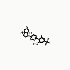 Cc1cc(C(F)(F)F)cc(O)c1-c1ccc(N2CC[C@H]3CN(C)C[C@H]32)nn1